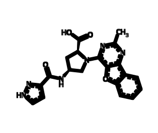 Cc1nc(N2C[C@@H](NC(=O)c3cc[nH]n3)C[C@H]2C(=O)O)c2oc3ccccc3c2n1